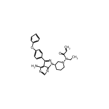 C=CC(=O)N(CC)N1CCC[C@@H](n2nc(-c3ccc(Oc4ccccc4)cc3)c3c(N)ncnc32)C1